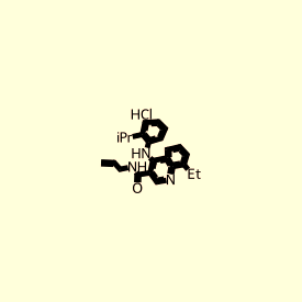 C=CCNC(=O)c1cnc2c(CC)cccc2c1Nc1ccccc1C(C)C.Cl